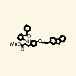 COC(=O)C(Cc1ccc(OCC=Cc2ccc3c(c2)Cc2ccccc2-3)cc1)Nc1ccccc1C(=O)c1ccccc1